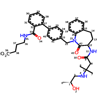 C[C@@H](O)CNC(C)(C)CC(=O)NC1CCc2ccccc2N(Cc2ccc(-c3ccccc3C(=O)NCCCC(=O)O)cc2)C1=O